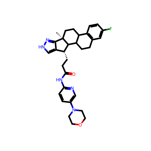 C[C@]12CCC3c4ccc(F)cc4CCC3C1[C@H](CCC(=O)Nc1ccc(N3CCOCC3)cn1)c1c[nH]nc12